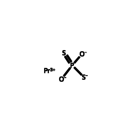 [O-]P([O-])(=S)[S-].[Pr+3]